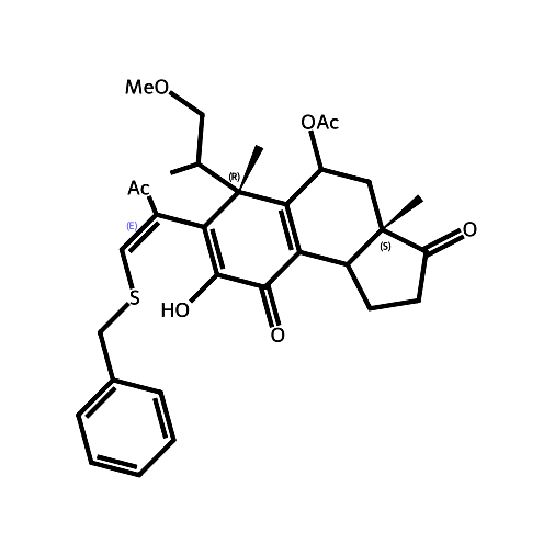 COCC(C)[C@@]1(C)C(/C(=C\SCc2ccccc2)C(C)=O)=C(O)C(=O)C2=C1C(OC(C)=O)C[C@]1(C)C(=O)CCC21